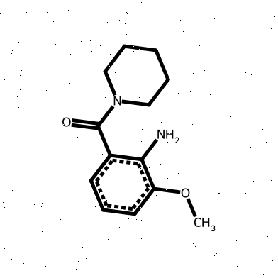 COc1cccc(C(=O)N2CCCCC2)c1N